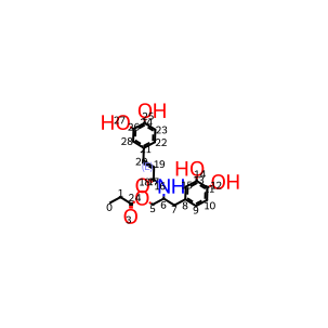 CCC(=O)OCC(Cc1ccc(O)c(O)c1)NC(=O)/C=C/c1ccc(O)c(O)c1